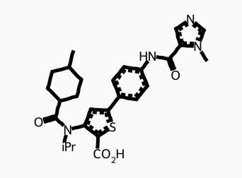 CC1CCC(C(=O)N(c2cc(-c3ccc(NC(=O)c4cncn4C)cc3)sc2C(=O)O)C(C)C)CC1